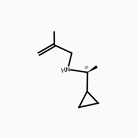 C=C(C)CN[C@@H](C)C1CC1